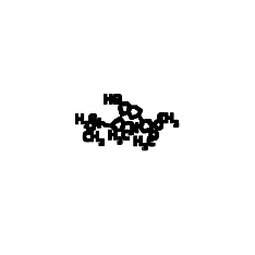 C=CCN(C)CCc1ccc(CN(CC)c2cc(OC)c(OC)cc2[C@@H]2CCc3cc(O)ccc3C2)cc1